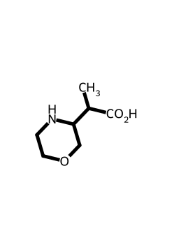 CC(C(=O)O)C1COCCN1